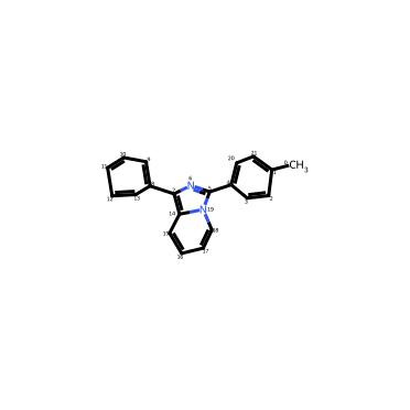 Cc1ccc(-c2nc(-c3ccccc3)c3ccccn23)cc1